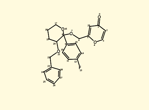 O=c1ccoc(COC2(c3ccc(F)cc3)OCCCC2OCc2ccccc2)c1